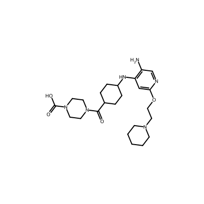 Nc1cnc(OCCN2CCCCC2)cc1NC1CCC(C(=O)N2CCN(C(=O)O)CC2)CC1